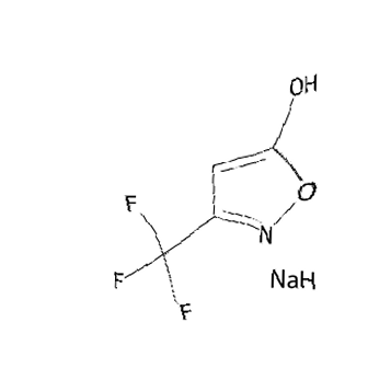 Oc1cc(C(F)(F)F)no1.[NaH]